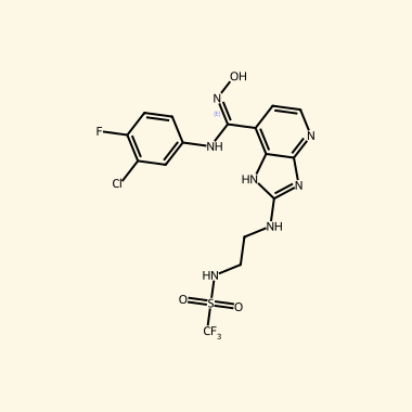 O=S(=O)(NCCNc1nc2nccc(/C(=N\O)Nc3ccc(F)c(Cl)c3)c2[nH]1)C(F)(F)F